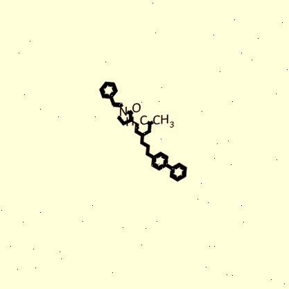 CC(C)CC(CCCc1ccc(-c2ccccc2)cc1)CC[C@H]1CCN(/C=C/c2ccccc2)C1=O